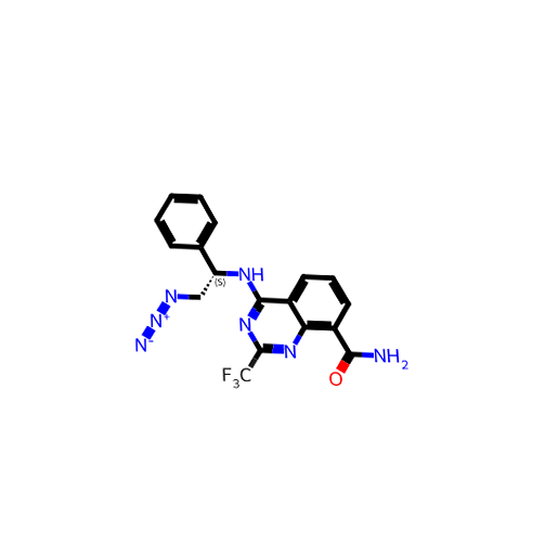 [N-]=[N+]=NC[C@@H](Nc1nc(C(F)(F)F)nc2c(C(N)=O)cccc12)c1ccccc1